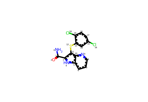 NC(=O)c1[nH]c2cccnc2c1Sc1cc(Cl)ccc1Cl